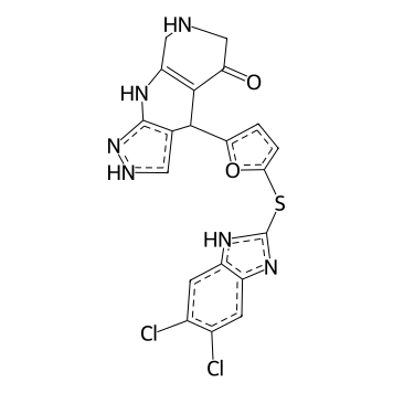 O=C1CNCC2=C1C(c1ccc(Sc3nc4cc(Cl)c(Cl)cc4[nH]3)o1)c1c[nH]nc1N2